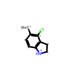 CSc1ccc2c(c1Cl)CCN2